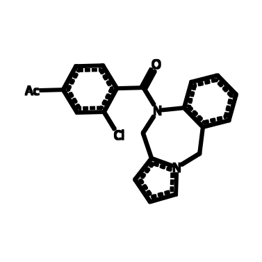 CC(=O)c1ccc(C(=O)N2Cc3cccn3Cc3ccccc32)c(Cl)c1